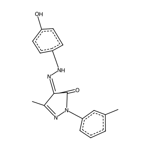 CC1=NN(c2cccc(C)c2)C(=O)/C1=N\Nc1ccc(O)cc1